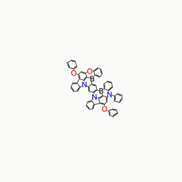 c1ccc(Oc2cc3c4c5c2c2ccccc2n5-c2cc5c(cc2B4c2ccccc2O3)B2c3ccccc3N(c3ccccc3)c3cc(Oc4ccccc4)c4c6ccccc6n-5c4c32)cc1